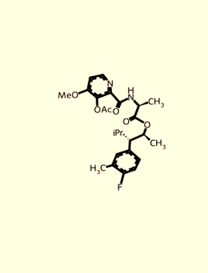 COc1ccnc(C(=O)N[C@@H](C)C(=O)O[C@@H](C)[C@H](c2ccc(F)c(C)c2)C(C)C)c1OC(C)=O